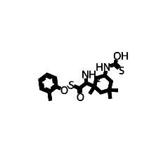 Cc1ccccc1OSC(=O)C(N)C1(C)CC(NC(O)=S)CC(C)(C)C1